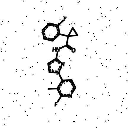 Cc1c(-n2ccc(NC(=O)C3(c4ccccc4F)CC3)n2)ccnc1F